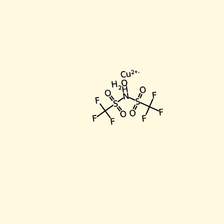 O.O=S(=O)(NS(=O)(=O)C(F)(F)F)C(F)(F)F.[Cu+2]